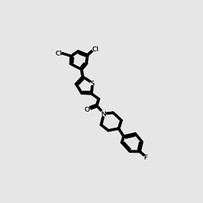 O=C(Cc1ccc(-c2cc(Cl)cc(Cl)c2)s1)N1CCC(c2ccc(F)cc2)CC1